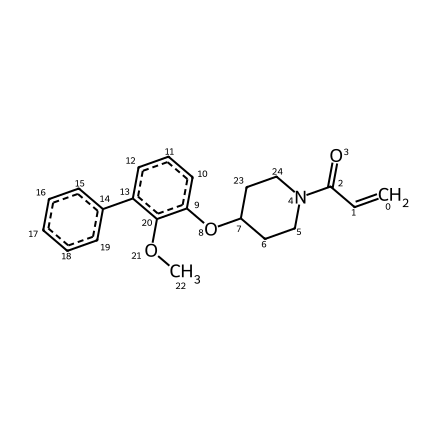 C=CC(=O)N1CCC(Oc2cccc(-c3ccccc3)c2OC)CC1